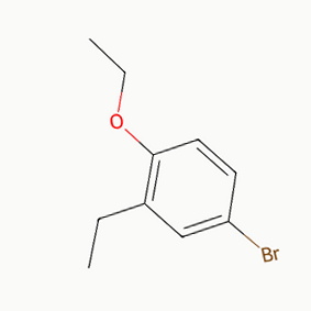 CCOc1ccc(Br)cc1CC